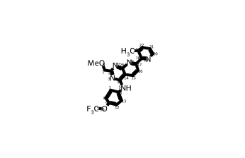 COCc1nc(Nc2ccc(OC(F)(F)F)cc2)c2ccc(-c3ncccc3C)nc2n1